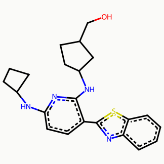 OCC1CCC(Nc2nc(NC3CCC3)ccc2-c2nc3ccccc3s2)C1